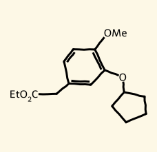 CCOC(=O)Cc1ccc(OC)c(OC2CCCC2)c1